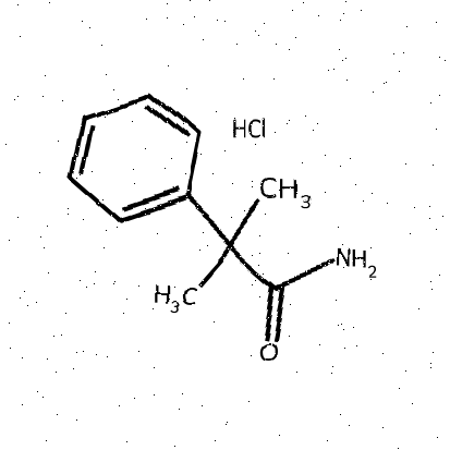 CC(C)(C(N)=O)c1ccccc1.Cl